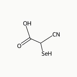 N#CC([SeH])C(=O)O